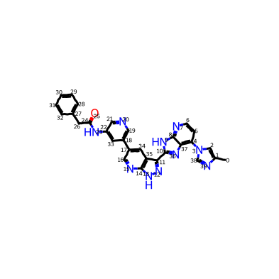 Cc1cn(-c2ccnc3[nH]c(-c4n[nH]c5ncc(-c6cncc(NC(=O)Cc7ccccc7)c6)cc45)nc23)cn1